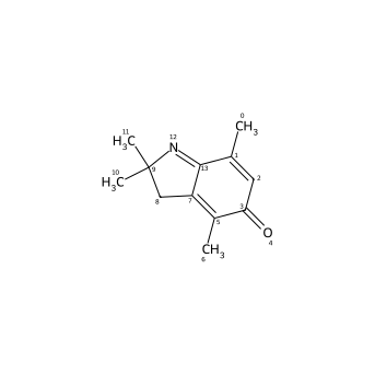 CC1=CC(=O)C(C)=C2CC(C)(C)N=C12